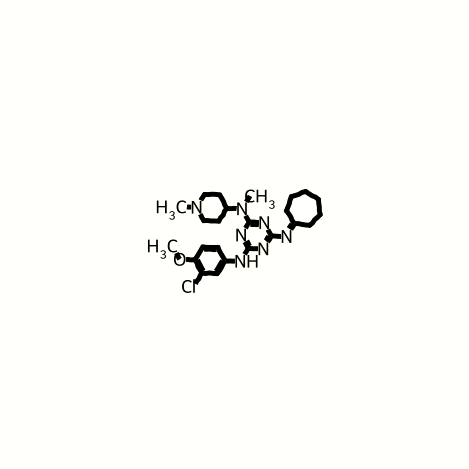 COc1ccc(Nc2nc(N=C3CCCCCC3)nc(N(C)C3CCN(C)CC3)n2)cc1Cl